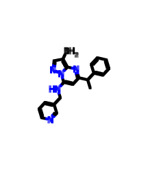 Bc1cnn2c(NCc3cccnc3)cc(C(C)c3ccccc3)nc12